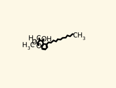 CCCCCCCCCCCCc1ccccc1C(O)C(C)C(=O)OC